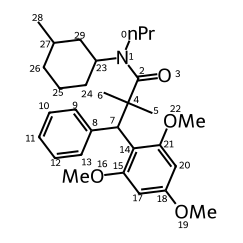 CCCN(C(=O)C(C)(C)C(c1ccccc1)c1c(OC)cc(OC)cc1OC)C1CCCC(C)C1